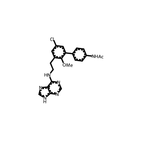 COc1c(CCNc2ncnc3[nH]cnc23)cc(Cl)cc1-c1ccc(NC(C)=O)cc1